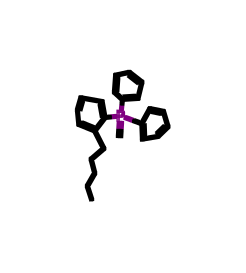 C=P(c1ccccc1)(c1ccccc1)c1ccccc1CCCCC